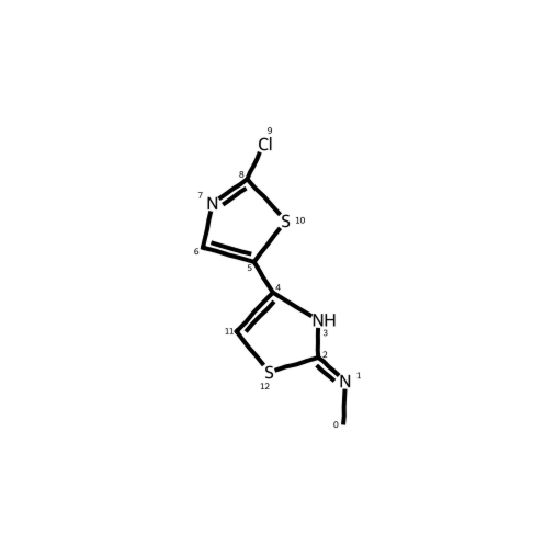 CN=c1[nH]c(-c2cnc(Cl)s2)cs1